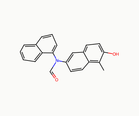 Cc1c(O)ccc2cc(N(C=O)c3cccc4ccccc34)ccc12